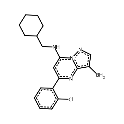 Bc1cnn2c(NCC3CCCCC3)cc(-c3ccccc3Cl)nc12